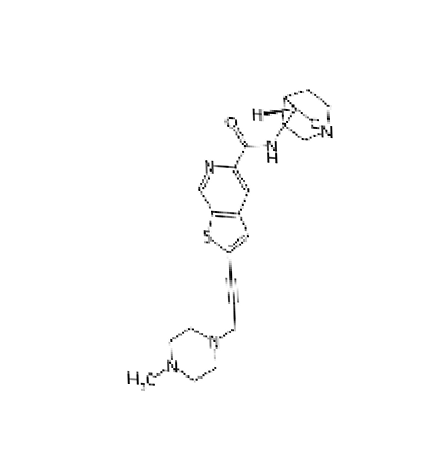 CN1CCN(CC#Cc2cc3cc(C(=O)N[C@H]4CN5CCC4CC5)ncc3s2)CC1